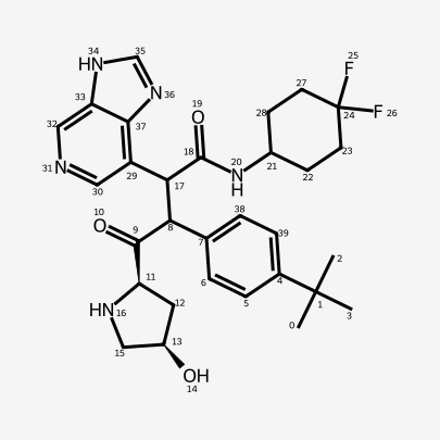 CC(C)(C)c1ccc(C(C(=O)[C@H]2C[C@@H](O)CN2)C(C(=O)NC2CCC(F)(F)CC2)c2cncc3[nH]cnc23)cc1